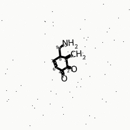 C=C1C(=O)C(=O)C=CC1CN